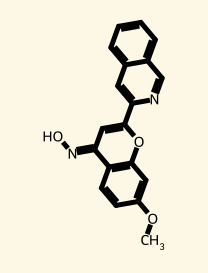 COc1ccc2c(=NO)cc(-c3cc4ccccc4cn3)oc2c1